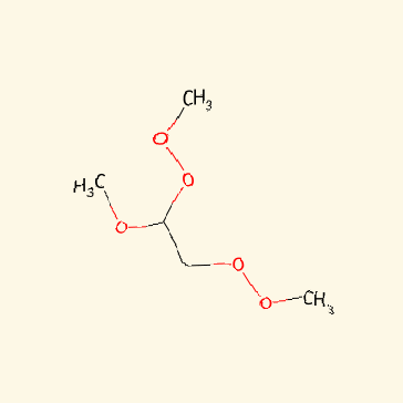 COOCC(OC)OOC